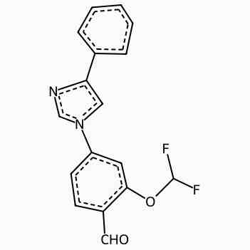 O=Cc1ccc(-n2cnc(-c3ccccc3)c2)cc1OC(F)F